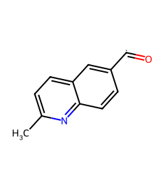 Cc1ccc2cc([C]=O)ccc2n1